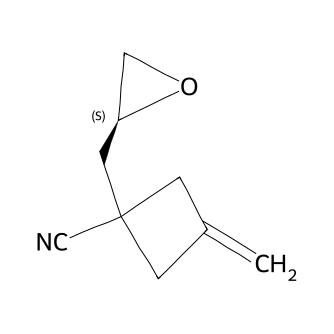 C=C1CC(C#N)(C[C@H]2CO2)C1